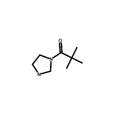 CC(C)(C)C(=O)N1CC[N]C1